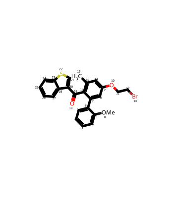 COc1ccccc1-c1cc(OCCBr)cc(C)c1C(=O)c1csc2ccccc12